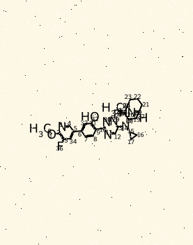 COc1ncc(-c2ccc(-c3ncc(N(C4CC4)[C@H]4C[C@@H]5CCC[C@@](C)(N5)[C@H]4F)nn3)c(O)c2)cc1F